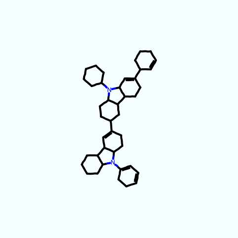 C1=CCCC(N2C3CCC(C4CCC5C(C4)C4CCC(C6C=CCCC6)=CC4N5C4CCCCC4)=CC3C3CCCCC32)=C1